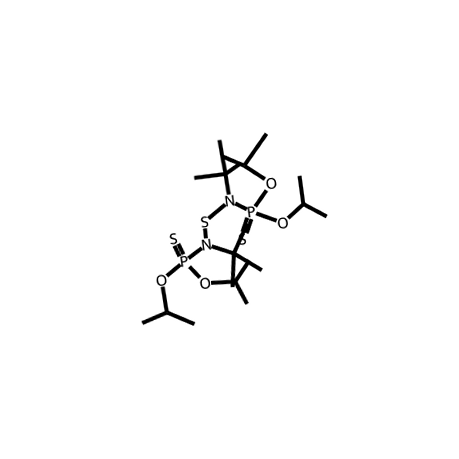 CC(C)OP(=S)(OC(C)C)N(SN(C(C)(C)C)P(=S)(OC(C)C)OC(C)C)C(C)(C)C